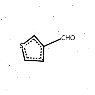 O=Cc1[c]scc1